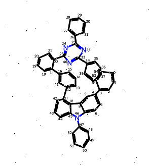 c1ccc(-c2ccc3c(c2)c2c(-c4cccc(-c5ccccc5-c5nc(-c6ccccc6)nc(-c6ccccc6)n5)c4)cccc2n3-c2ccccc2)cc1